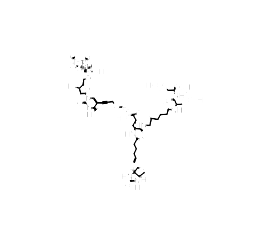 CC(C)(CCC(NC(=O)CCC/C=C/[C@@H]1SC[C@@H]2NC(=O)N[C@@H]21)C(=O)NCCCCCC(=O)NC(CC(=O)O)C(=O)NC(CC(=O)O)C(=O)O)SSCOCC#Cc1cn(C2CC(O)C(COP(=O)(O)OP(=O)(O)OP(=O)(O)O)O2)c(=O)[nH]c1=O